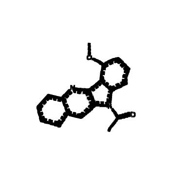 COc1cccc2c1c1nc3ccccc3cc1n2C(C)=O